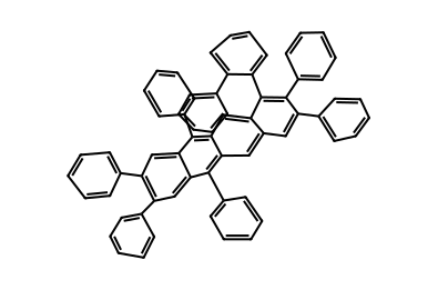 c1ccc(-c2cc3c(-c4ccccc4)c4cc5cc(-c6ccccc6)c(-c6ccccc6)c(-c6ccccc6-c6ccccc6)c5cc4c(-c4ccccc4)c3cc2-c2ccccc2)cc1